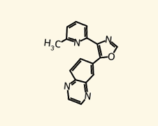 Cc1cccc(-c2ncoc2-c2ccc3nccnc3c2)n1